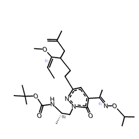 C=C(C)CC(CCc1cc(/C(C)=N/OC(C)C)c(=O)n(C[C@H](C)NC(=O)OC(C)(C)C)n1)/C(=C\C)OC